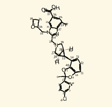 CC1(c2ccc(Cl)cn2)Oc2cccc(C3[C@H]4CN(Cc5nc6c(F)cc(C(=O)O)cc6n5CC5CCO5)C[C@@H]34)c2O1